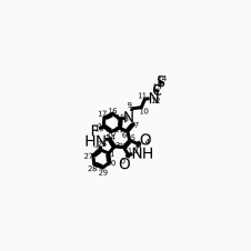 O=C1NC(=O)C(c2cn(CCCN=C=S)c3ccc(F)cc23)=C1c1c[nH]c2ccccc12